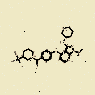 CPn1nc(N[C@@H]2CCCNC2)c2c(Oc3ccc(C(=O)N4CCCC(C(F)(F)F)C4)cc3)ccnc21